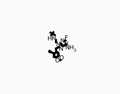 C#Cc1cc2c(cc1Cc1nc3c(N)nc(F)nc3n1CCNCC(C)(C)C)OCO2